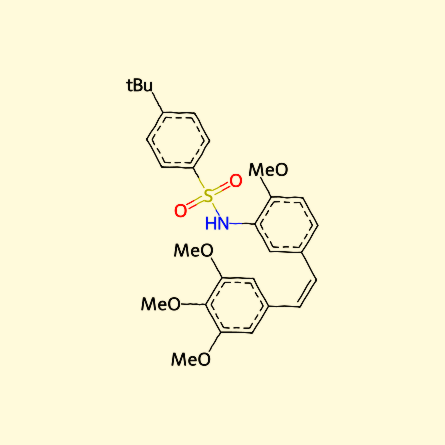 COc1ccc(/C=C\c2cc(OC)c(OC)c(OC)c2)cc1NS(=O)(=O)c1ccc(C(C)(C)C)cc1